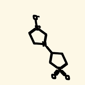 O=S1(=O)CCC(N2CC[S+]([O-])C2)C1